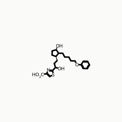 O=C(O)c1csc(C(O)CC[C@H]2CC[C@@H](O)C2CCCCCOc2ccccc2)n1